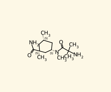 C[C@@H]1C[C@H](N(C)C(=O)C(C)(C)N)C[C@@](C)(C(N)=O)C1